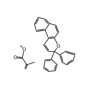 C1=CC(c2ccccc2)(c2ccccc2)Oc2ccc3ccccc3c21.C=C(C)C(=O)OC